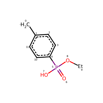 [CH2]c1ccc(P(=O)(O)OCC)cc1